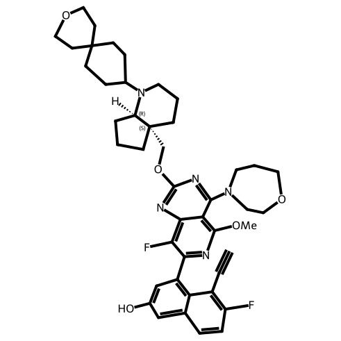 C#Cc1c(F)ccc2cc(O)cc(-c3nc(OC)c4c(N5CCCOCC5)nc(OC[C@]56CCC[C@H]5N(C5CCC7(CCOCC7)CC5)CCC6)nc4c3F)c12